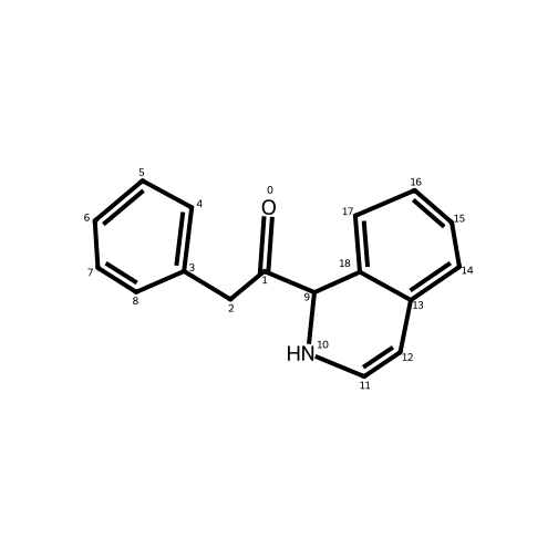 O=C(Cc1ccccc1)C1NC=Cc2ccccc21